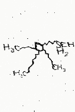 CCCCCCCCc1c(CCCCCC)ccc(CCCCC[SiH2]C)c1CCCCCCC